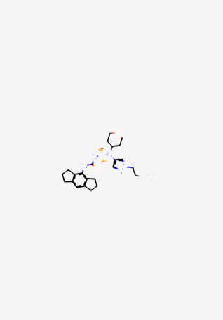 COCCn1cc(N(C2CCOCC2)S(=O)(=O)NC(=O)Nc2c3c(cc4c2CCC4)CCC3)cn1